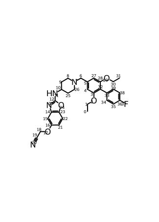 CCOc1cc(CN2CCC(Nc3nc4cc(OCC#N)ccc4o3)CC2)cc(OCC)c1-c1ccc(F)cc1